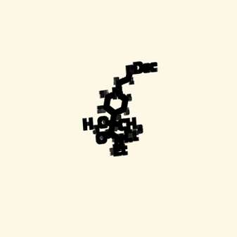 CCCCCCCCCCCCN1CCC(C(C)(C)C(=O)N(CC)CC)CC1